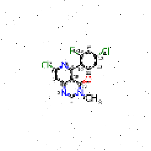 Cn1cnc2cc(Cl)nc(-c3ccc(Cl)cc3F)c2c1=O